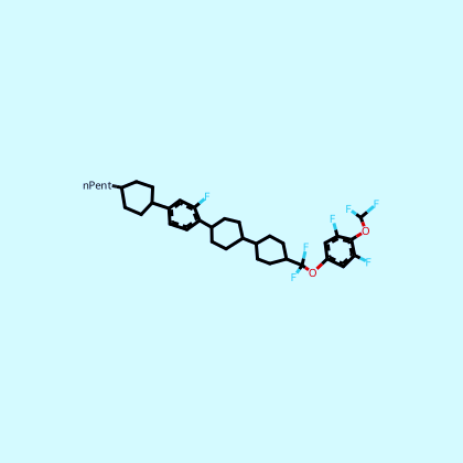 CCCCCC1CCC(c2ccc(C3CCC(C4CCC(C(F)(F)Oc5cc(F)c(OC(F)F)c(F)c5)CC4)CC3)c(F)c2)CC1